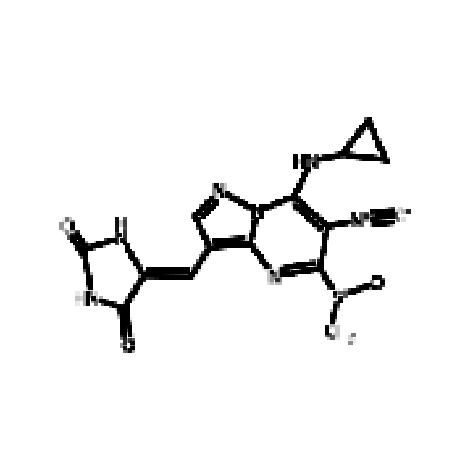 [C-]#[N+]c1c([S+](C)[O-])nc2c(/C=C3\NC(=O)NC3=O)cnn2c1NC1CC1